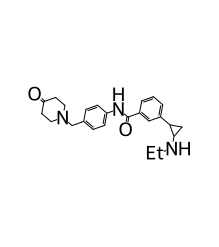 CCNC1CC1c1cccc(C(=O)Nc2ccc(CN3CCC(=O)CC3)cc2)c1